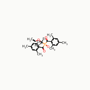 C=COC(C)(CC)P(=O)(C(=O)c1c(C)cc(C)cc1C)C(=O)c1c(C)cc(C)cc1C